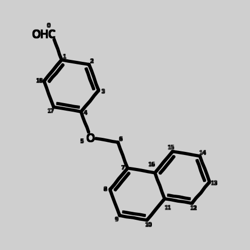 O=Cc1ccc(OCc2cccc3ccccc23)cc1